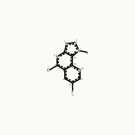 Cn1nnc2nc(Cl)c3cc(F)cnc3c21